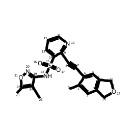 Cc1cc2c(cc1C#Cc1ncccc1S(=O)(=O)Nc1noc(C)c1C)COC2